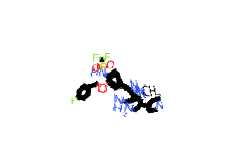 Cn1nc(-c2ccc(NS(=O)(=O)C(F)F)c(OCc3ccc(F)cc3)c2)c2c(N)ncc(-c3ccncc3)c21